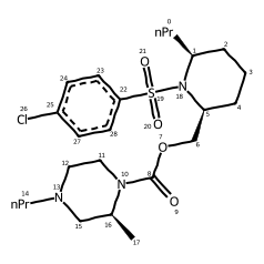 CCC[C@H]1CCC[C@@H](COC(=O)N2CCN(CCC)C[C@@H]2C)N1S(=O)(=O)c1ccc(Cl)cc1